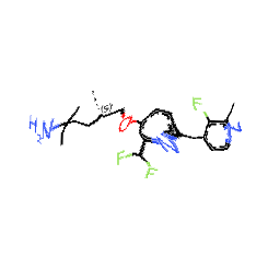 Cc1nccc(-c2ccc(OC[C@@H](C)CC(C)(C)N)c(C(F)F)n2)c1F